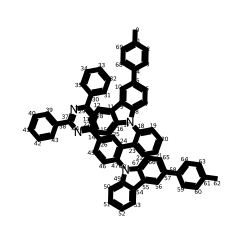 Cc1ccc(-c2ccc3c(c2)c2ccccc2n3-c2ccccc2-c2cc(-c3cc(-c4ccccc4)nc(-c4ccccc4)n3)ccc2-n2c3ccccc3c3cc(-c4ccc(C)cc4)ccc32)cc1